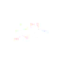 NC(=O)C1(CO)CC1.O=C(O)C(F)(F)F